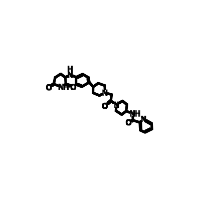 O=C1CCC(Nc2ccc(C3CCN(CC(=O)N4CCC(NC(=O)c5ccccn5)CC4)CC3)cc2)C(=O)N1